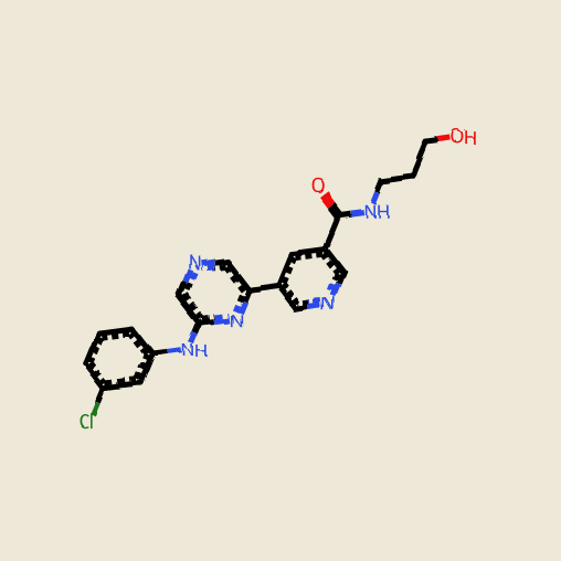 O=C(NCCCO)c1cncc(-c2cncc(Nc3cccc(Cl)c3)n2)c1